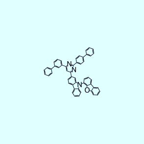 c1ccc(-c2ccc(-c3nc(-c4cccc(-c5ccccc5)c4)cc(-c4ccc5c6ccccc6n(-c6cccc7c6oc6ccccc67)c5c4)n3)cc2)cc1